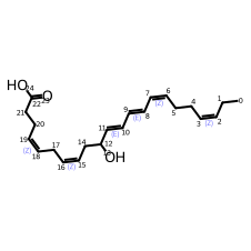 CC/C=C\CC\C=C/C=C/C=C/C(O)C/C=C\C/C=C\CCC(=O)O